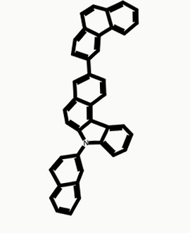 c1ccc2cc(-n3c4ccccc4c4c5ccc(-c6ccc7ccc8ccccc8c7c6)cc5ccc43)ccc2c1